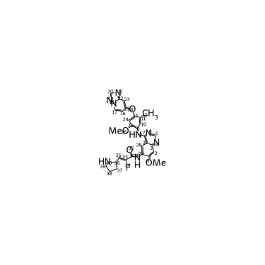 COc1cc2ncnc(Nc3cc(C)c(Oc4ccn5ncnc5c4)cc3OC)c2cc1NC(=O)/C(F)=C/C1CCCN1